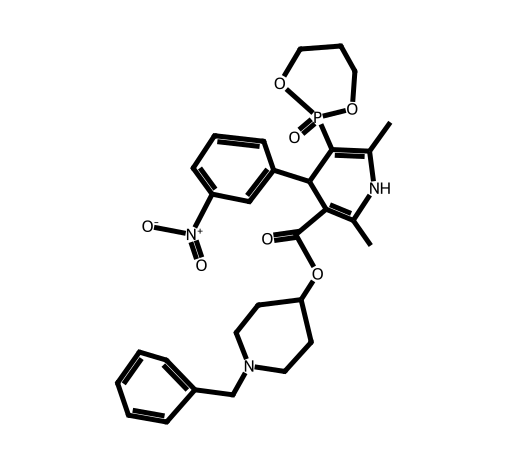 CC1=C(C(=O)OC2CCN(Cc3ccccc3)CC2)C(c2cccc([N+](=O)[O-])c2)C(P2(=O)OCCCO2)=C(C)N1